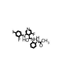 CC(=O)Nc1ccccc1NC(=O)c1c(F)cncc1Nc1ccc(I)cc1F